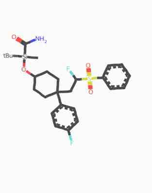 CC(C)(C)[Si](C)(OC1CCC([CH]C(F)S(=O)(=O)c2ccccc2)(c2ccc(F)cc2)CC1)C(N)=O